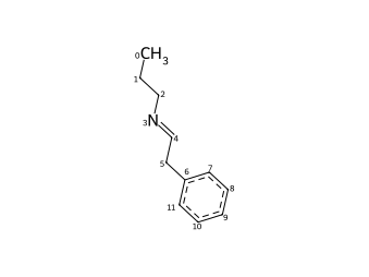 CCCN=CCc1ccccc1